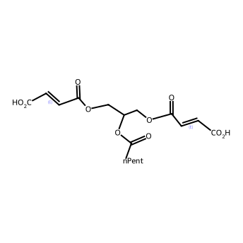 CCCCCC(=O)OC(COC(=O)/C=C/C(=O)O)COC(=O)/C=C/C(=O)O